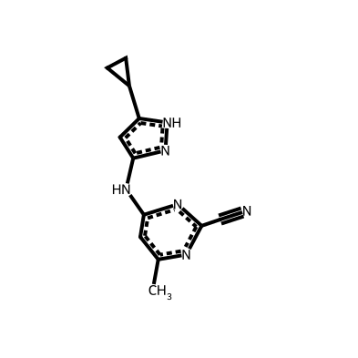 Cc1cc(Nc2cc(C3CC3)[nH]n2)nc(C#N)n1